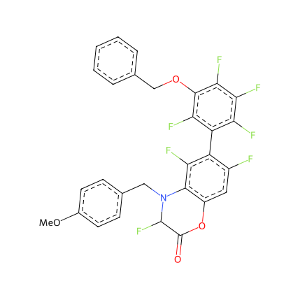 COc1ccc(CN2c3c(cc(F)c(-c4c(F)c(F)c(F)c(OCc5ccccc5)c4F)c3F)OC(=O)C2F)cc1